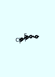 CC1CCC(CCC2CCC(c3cc(F)c(CCc4ccc(Cl)c(F)c4)c(F)c3)CC2)CC1